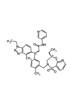 CC[C@@H]1CN(Cc2cc([C@H](CC(=O)Nc3cccnc3)c3ccc4c(nnn4CC)c3C)ccc2C)S(=O)(=O)c2cccnc2O1